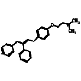 CN(C)CCOc1ccc(CC=C(Cc2cc[c]cc2)c2ccccc2)cc1